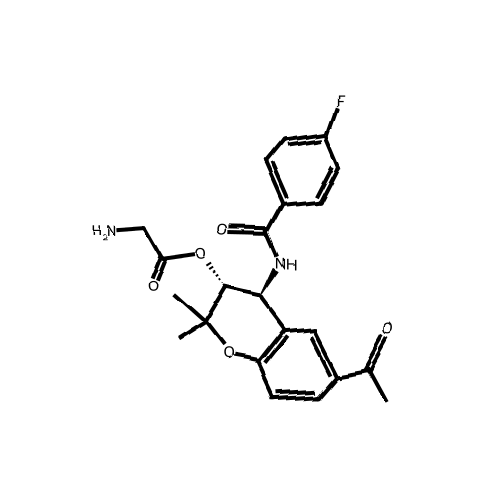 CC(=O)c1ccc2c(c1)[C@H](NC(=O)c1ccc(F)cc1)[C@@H](OC(=O)CN)C(C)(C)O2